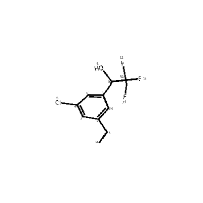 CCc1cc(Cl)cc(C(O)C(F)(F)F)c1